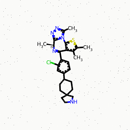 Cc1sc2c(c1C)C(c1ccc(C3CCC4(CCNC4)CC3)cc1Cl)=N[C@@H](C)c1nnc(C)n1-2